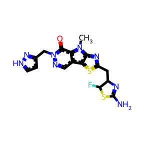 Cn1c2nc(CC3N=C(N)SC3F)sc2c2cnn(Cc3cc[nH]n3)c(=O)c21